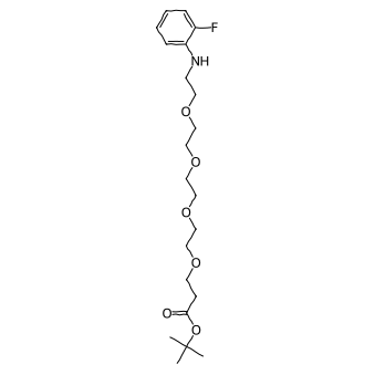 CC(C)(C)OC(=O)CCOCCOCCOCCOCCNc1ccccc1F